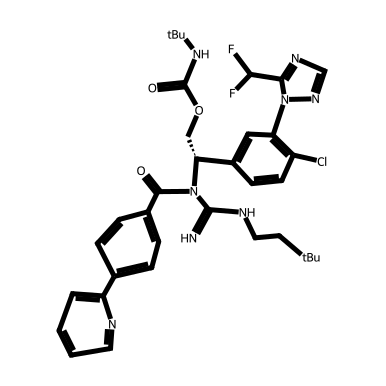 CC(C)(C)CCNC(=N)N(C(=O)c1ccc(-c2ccccn2)cc1)[C@H](COC(=O)NC(C)(C)C)c1ccc(Cl)c(-n2ncnc2C(F)F)c1